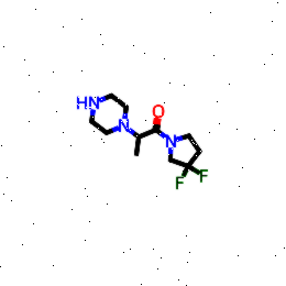 CC(C(=O)N1CCC(F)(F)C1)N1CCNCC1